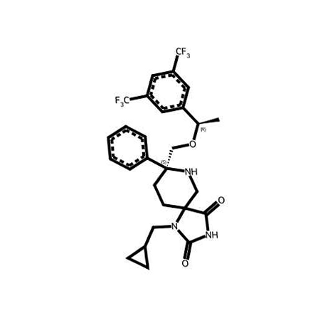 C[C@@H](OC[C@@]1(c2ccccc2)CCC2(CN1)C(=O)NC(=O)N2CC1CC1)c1cc(C(F)(F)F)cc(C(F)(F)F)c1